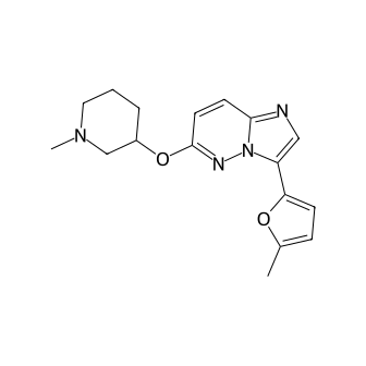 Cc1ccc(-c2cnc3ccc(OC4CCCN(C)C4)nn23)o1